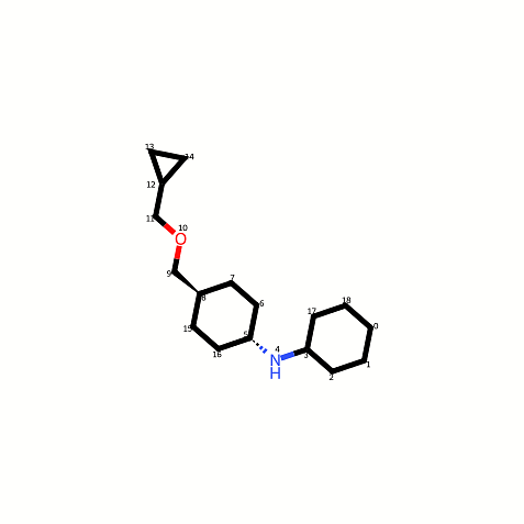 C1CCC(N[C@H]2CC[C@H](COCC3CC3)CC2)CC1